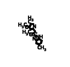 COc1c(C)cnc(C[S@@+]([O-])c2nc3cc(C)ccc3[nH]2)c1C